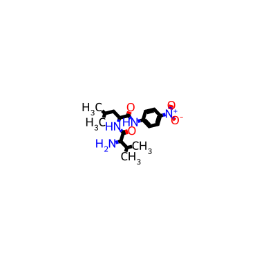 CC(C)CC(NC(=O)C(N)C(C)C)C(=O)Nc1ccc([N+](=O)[O-])cc1